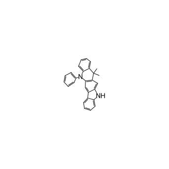 CC1(C)c2ccccc2N(c2ccccc2)c2cc3c(cc21)[nH]c1ccccc13